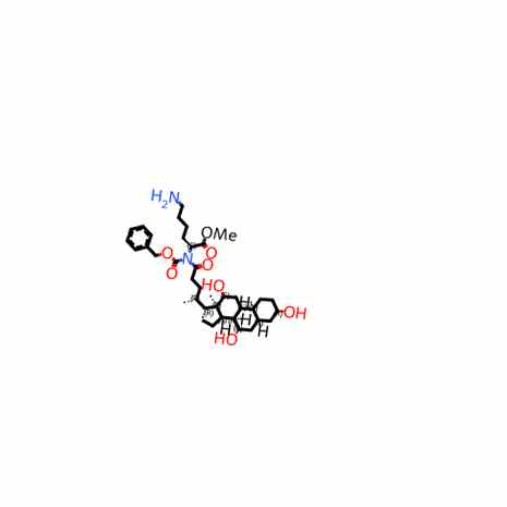 COC(=O)[C@H](CCCCN)N(C(=O)CC[C@@H](C)[C@H]1CC[C@H]2[C@@H]3[C@H](O)C[C@@H]4C[C@H](O)CC[C@]4(C)[C@H]3C[C@H](O)[C@]12C)C(=O)OCc1ccccc1